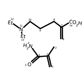 C=C(C)C(N)=O.C=C(CCCN(CC)CC)C(=O)O